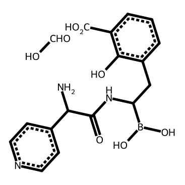 NC(C(=O)NC(Cc1cccc(C(=O)O)c1O)B(O)O)c1ccncc1.O=CO